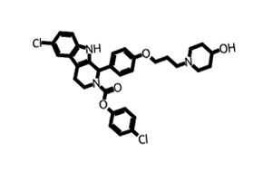 O=C(Oc1ccc(Cl)cc1)N1CCc2c([nH]c3ccc(Cl)cc23)C1c1ccc(OCCCN2CCC(O)CC2)cc1